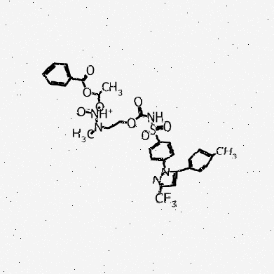 Cc1ccc(-c2cc(C(F)(F)F)nn2-c2ccc(S(=O)(=O)NC(=O)OCCN(C)[NH+]([O-])OC(C)OC(=O)c3ccccc3)cc2)cc1